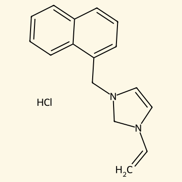 C=CN1C=CN(Cc2cccc3ccccc23)C1.Cl